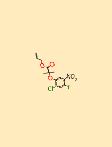 C=CCOC(=O)C(C)(C)Oc1cc([N+](=O)[O-])c(F)cc1Cl